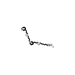 NCCCCCCOCCCc1ccc[n+](CCCCOCCCc2cccnc2)c1